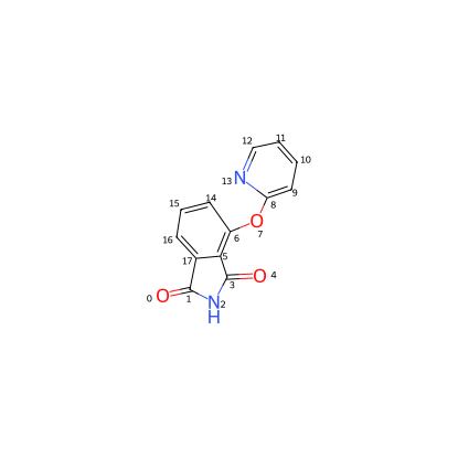 O=C1NC(=O)c2c(Oc3ccccn3)cccc21